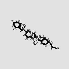 CCCc1ccc(C(=O)Nc2cn3nc(N(C)Cc4ccccc4)ccc3n2)cc1